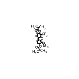 C=C(C)C(=O)Oc1ccc2c(oc3c(C(F)(F)F)c(OC(=O)C(=C)C)ccc32)c1OC(F)(F)F